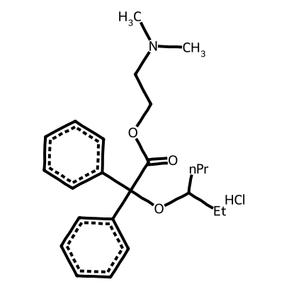 CCCC(CC)OC(C(=O)OCCN(C)C)(c1ccccc1)c1ccccc1.Cl